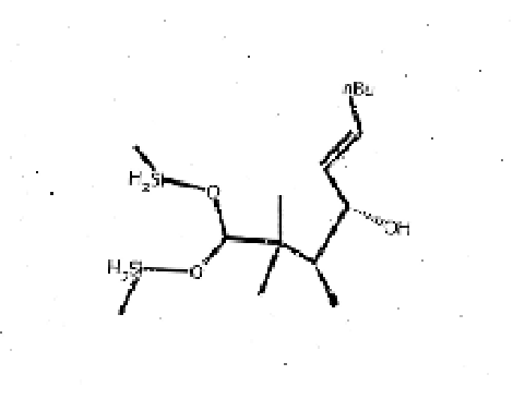 CCCC/C=C/[C@H](O)[C@@H](C)C(C)(C)C(O[SiH2]C)O[SiH2]C